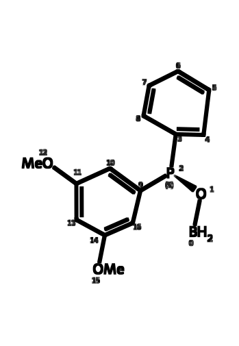 BO[P@](c1ccccc1)c1cc(OC)cc(OC)c1